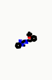 Cn1c(C=NCCc2ccccc2O[Si](C)(C)C)nc2ccccc21